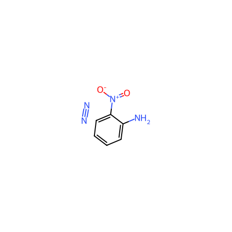 N#N.Nc1ccccc1[N+](=O)[O-]